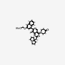 COCOc1cc(-c2ncc3c(N4CCC(=O)CC4)nc(CC45CCCN4CCC5)nc3c2F)c2ccccc2c1